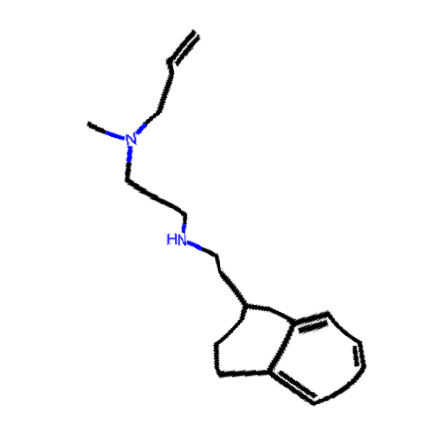 C=CCN(C)CCNCC1CCc2ccccc21